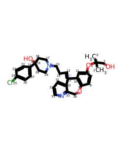 CC(C)(CO)Oc1ccc2c(c1)/C(=C/CCN1CCC(O)(c3ccc(Cl)cc3)CC1)c1cccnc1CO2